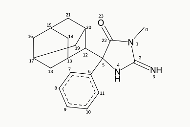 CN1C(=N)NC(c2ccccc2)(C2C3CC4CC(C3)CC2C4)C1=O